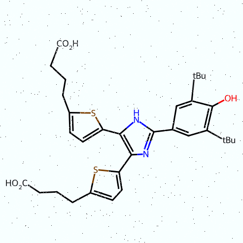 CC(C)(C)c1cc(-c2nc(-c3ccc(CCCC(=O)O)s3)c(-c3ccc(CCCC(=O)O)s3)[nH]2)cc(C(C)(C)C)c1O